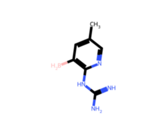 Bc1cc(C)cnc1NC(=N)N